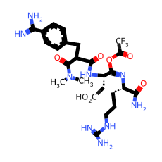 CN(C)C(=O)C(Cc1ccc(C(=N)N)cc1)C(=O)N[C@@H](CC(=O)O)C(=N[C@@H](CCCNC(=N)N)C(N)=O)OC(=O)C(F)(F)F